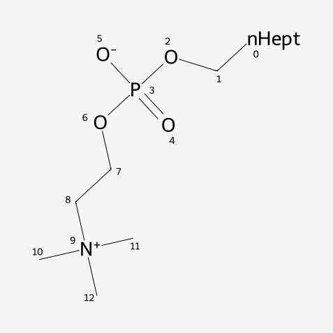 CCCCCCCCOP(=O)([O-])OCC[N+](C)(C)C